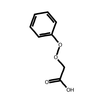 O=C(O)COOc1ccccc1